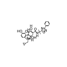 CC(C)(NC(=O)C1=C(O)[C@@H]2Oc3c(O)ccc4c3[C@@]23CCN(CC2CC2)[C@H](C4)[C@]3(O)C1)c1nc(-c2ccccc2)no1